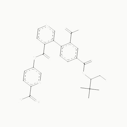 CC(C)(C)C(CO)NC(=O)c1ccc(-c2cnccc2C(=O)Nc2ccc(C(=N)N)nc2)c(C(=O)O)c1